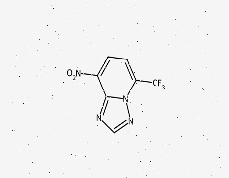 O=[N+]([O-])c1ccc(C(F)(F)F)n2ncnc12